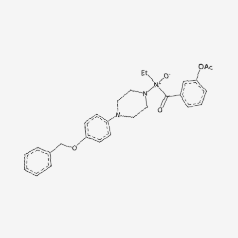 CC[N+]([O-])(C(=O)c1cccc(OC(C)=O)c1)N1CCN(c2ccc(OCc3ccccc3)cc2)CC1